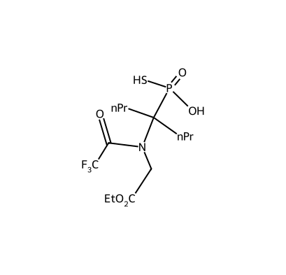 CCCC(CCC)(N(CC(=O)OCC)C(=O)C(F)(F)F)P(=O)(O)S